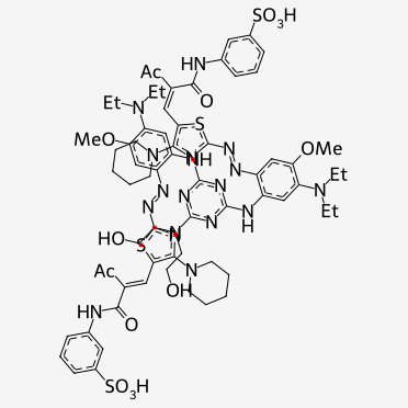 CCN(CC)c1cc(Nc2nc(Nc3cc(N(CC)CC)c(OC)cc3/N=N/c3nc(N4CCCCC4)c(/C=C(\C(C)=O)C(=O)Nc4cccc(S(=O)(=O)O)c4)s3)nc(N(CCO)CCO)n2)c(/N=N/c2nc(N3CCCCC3)c(/C=C(/C(C)=O)C(=O)Nc3cccc(S(=O)(=O)O)c3)s2)cc1OC